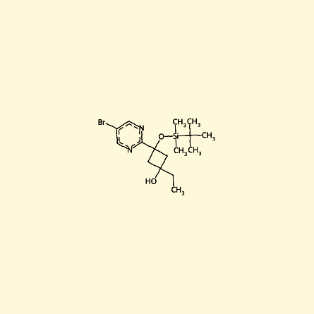 CCC1(O)CC(O[Si](C)(C)C(C)(C)C)(c2ncc(Br)cn2)C1